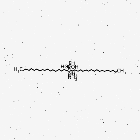 CCCCCCCCCCCCCCCCCCS(CCCCCCCCCCCCCCCCCC)=P(O)(O)S.N.N.N